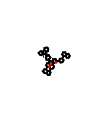 c1ccc(-c2cccc3cccc(-c4ccc(N(c5ccc(-c6cccc(-c7cccc8ccccc78)c6)cc5)c5ccc(-n6c7ccccc7c7ccccc76)cc5)cc4)c23)cc1